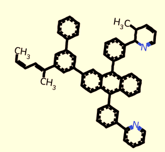 C/C=C\C=C(/C)c1cc(-c2ccccc2)cc(-c2ccc3c(-c4cccc(-c5ccccn5)c4)c4ccccc4c(-c4cccc(C5N=CC=CC5C)c4)c3c2)c1